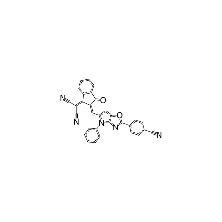 N#CC(C#N)=C1/C(=C/c2cc3oc(-c4ccc(C#N)cc4)nc3n2-c2ccccc2)C(=O)c2ccccc21